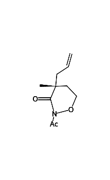 C=CC[C@]1(C)CCON(C(C)=O)C1=O